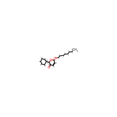 CCCCCCCCOC1C=CC(=O)C(C2CCCCC2)O1